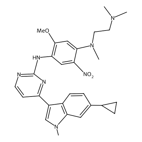 COc1cc(N(C)CCN(C)C)c([N+](=O)[O-])cc1Nc1nccc(-c2cn(C)c3cc(C4CC4)ccc23)n1